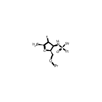 B[C@@H]1O[C@H](COC(C)C)C(NP(=O)(S)CC)C1F